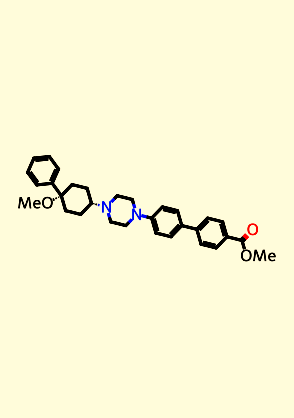 COC(=O)c1ccc(-c2ccc(N3CCN([C@H]4CC[C@](OC)(c5ccccc5)CC4)CC3)cc2)cc1